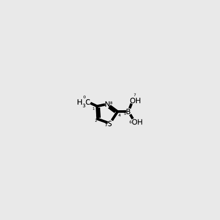 Cc1csc(B(O)O)n1